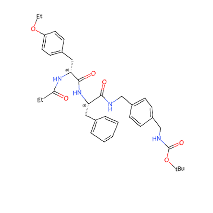 CCOc1ccc(C[C@@H](NC(=O)CC)C(=O)N[C@@H](Cc2ccccc2)C(=O)NCc2ccc(CNC(=O)OC(C)(C)C)cc2)cc1